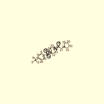 CC(C)(C)c1ccc(S(=O)(=O)N2CCN(C(=O)CC3CCCC3)CC2)cc1